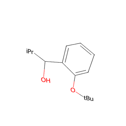 CC(C)C(O)c1ccccc1OC(C)(C)C